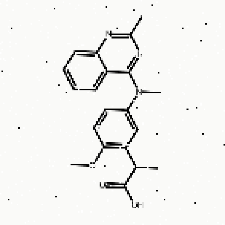 COc1ccc(N(C)c2nc(C)nc3ccccc23)cc1C(C)C(=O)O